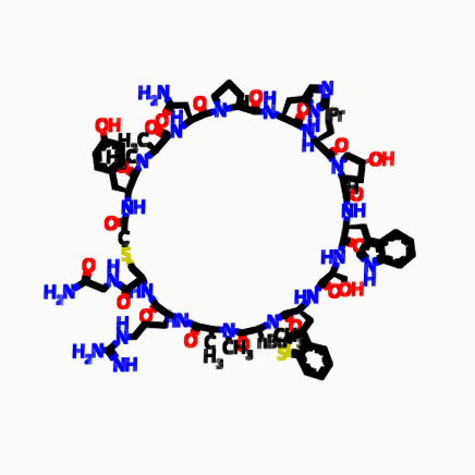 CCCC[C@H]1C(=O)N(C)[C@@H](C)C(=O)N[C@@H](CCCNC(=N)N)C(=O)NC(C(=O)NCC(N)=O)CSCC(=O)N[C@@H](Cc2ccc(O)cc2)C(=O)N(C)[C@@H](C)C(=O)N[C@@H](CC(N)=O)C(=O)N2CCC[C@H]2C(=O)N[C@@H](Cc2cnc[nH]2)C(=O)N[C@@H](CC(C)C)C(=O)N2C[C@H](O)C[C@H]2C(=O)N[C@@H](Cc2c[nH]c3ccccc23)C(=O)N[C@@H](CO)C(=O)N[C@@H](Cc2csc3ccccc23)C(=O)N1C